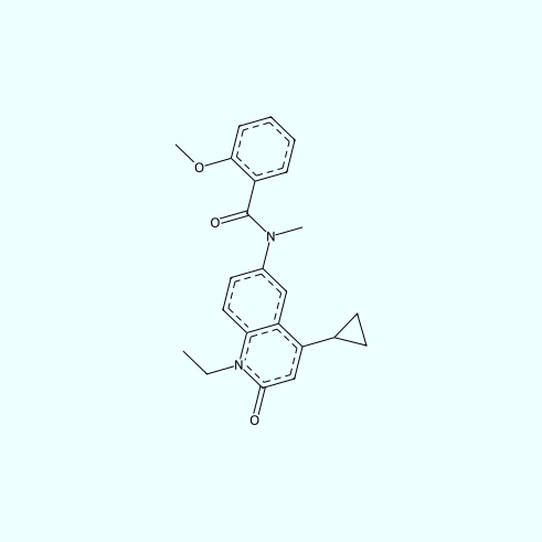 CCn1c(=O)cc(C2CC2)c2cc(N(C)C(=O)c3ccccc3OC)ccc21